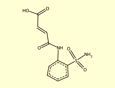 NS(=O)(=O)c1ccccc1NC(=O)C=CC(=O)O